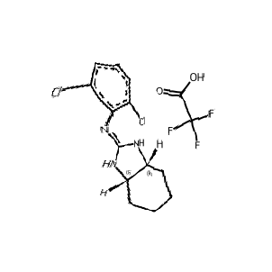 Clc1cccc(Cl)c1N=C1N[C@H]2CCCC[C@H]2N1.O=C(O)C(F)(F)F